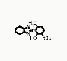 Cc1ccc(C(C)(C)C)c(O)c1-n1nc2ccccc2n1